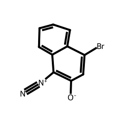 N#[N+]c1c([O-])cc(Br)c2ccccc12